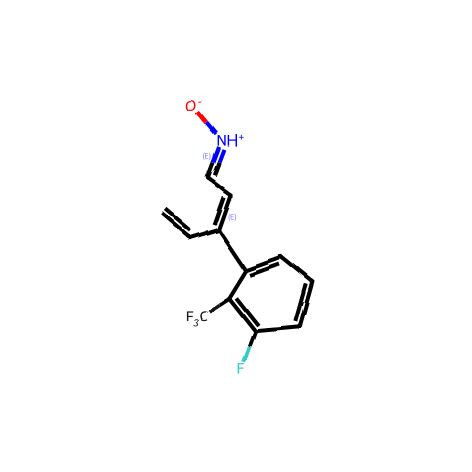 C=C/C(=C\C=[NH+]\[O-])c1cccc(F)c1C(F)(F)F